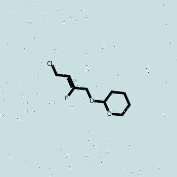 F/C(=C\CCl)COC1CCCCO1